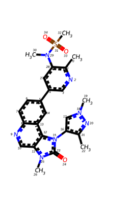 Cc1ncc(-c2ccc3ncc4c(c3c2)n(-c2cn(C)nc2C)c(=O)n4C)cc1N(C)S(C)(=O)=O